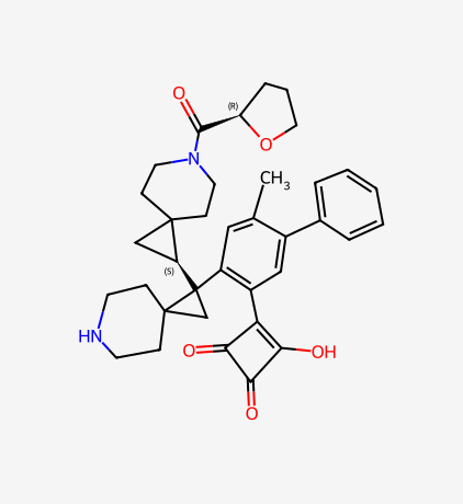 Cc1cc(C2([C@H]3CC34CCN(C(=O)[C@H]3CCCO3)CC4)CC23CCNCC3)c(-c2c(O)c(=O)c2=O)cc1-c1ccccc1